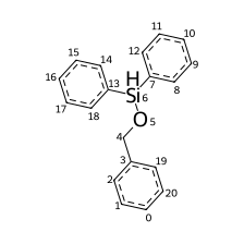 c1ccc(CO[SiH](c2ccccc2)c2ccccc2)cc1